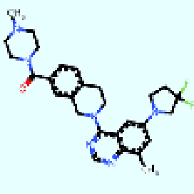 Cc1cc(N2CCC(F)(F)C2)cc2c(N3CCc4ccc(C(=O)N5CCN(C)CC5)cc4C3)ncnc12